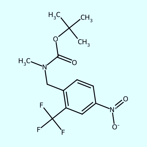 CN(Cc1ccc([N+](=O)[O-])cc1C(F)(F)F)C(=O)OC(C)(C)C